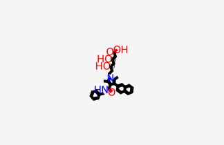 Cc1c(C(=O)NCc2ccccc2)c(-c2ccc3ccccc3c2)c(C)n1CC[C@@H](O)C[C@@H](O)CC(=O)O